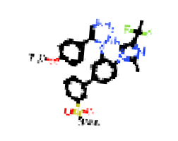 CNS(=O)(=O)c1cccc(-c2ccc(-n3cc(C(C)(F)F)nc3C)c(N(N)/C(=C\N)c3ccc(OC(F)(F)F)cc3)c2)c1